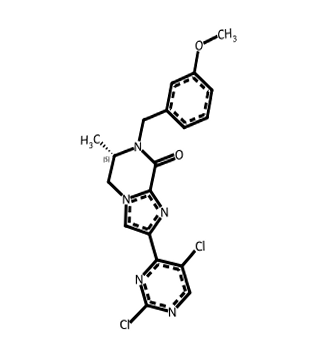 COc1cccc(CN2C(=O)c3nc(-c4nc(Cl)ncc4Cl)cn3C[C@@H]2C)c1